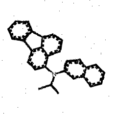 CC(C)N(c1ccc2ccccc2c1)c1ccc2c3c(cccc13)-c1ccccc1-2